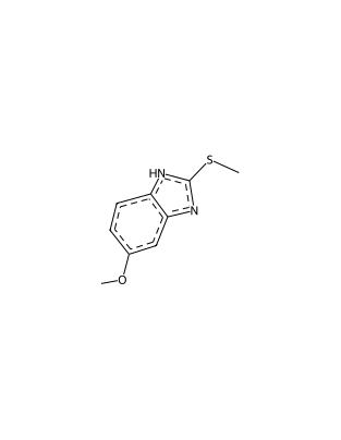 COc1ccc2[nH]c(SC)nc2c1